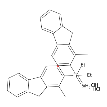 C[CH2][Ti](=[SiH2])([CH2]C)([c]1ccc2c(c1C)Cc1ccccc1-2)[c]1ccc2c(c1C)Cc1ccccc1-2.Cl.Cl